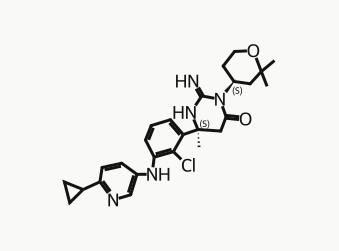 CC1(C)C[C@@H](N2C(=N)N[C@](C)(c3cccc(Nc4ccc(C5CC5)nc4)c3Cl)CC2=O)CCO1